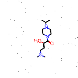 CC(C)N1CCN(C(=O)/C(O)=C/CN(C)C)CC1